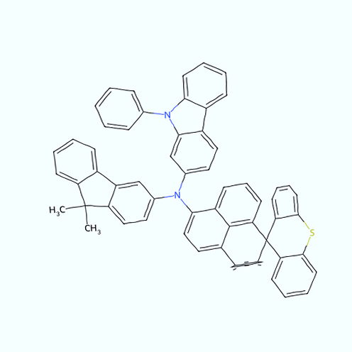 CC1(C)c2ccccc2-c2cc(N(c3ccc4c5ccccc5n(-c5ccccc5)c4c3)c3ccc4c5c(cccc35)C3(c5ccccc5Sc5ccccc53)c3ccccc3-4)ccc21